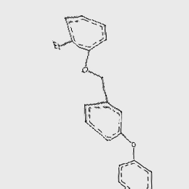 [CH2]Cc1ccccc1OCc1cccc(Oc2ccccc2)c1